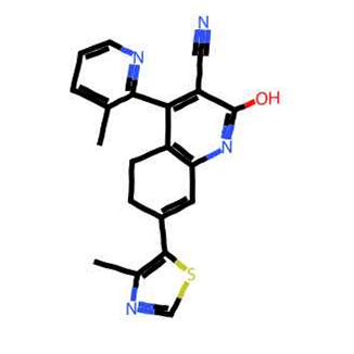 Cc1cccnc1-c1c(C#N)c(O)nc2c1CCC(c1scnc1C)=C2